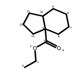 CCOC(=O)C12CCCCC1CCC2